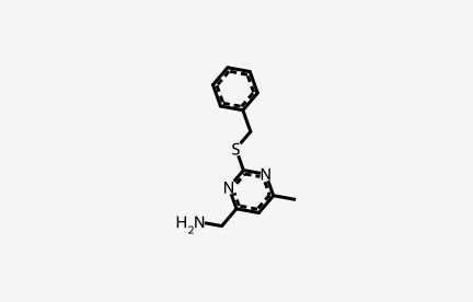 Cc1cc(CN)nc(SCc2ccccc2)n1